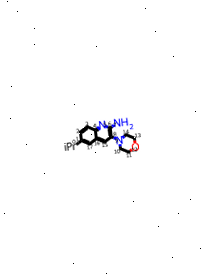 CC(C)c1ccc2nc(N)c(N3CCOCC3)cc2c1